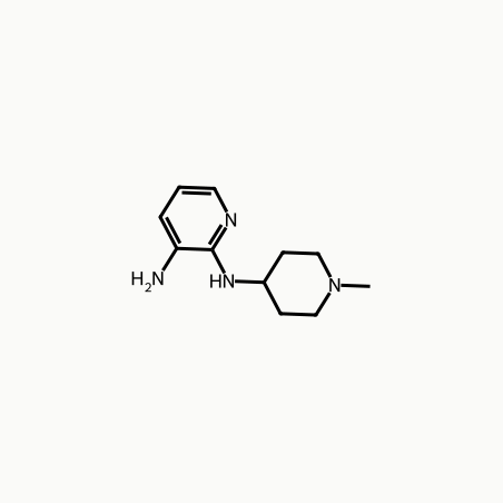 CN1CCC(Nc2ncccc2N)CC1